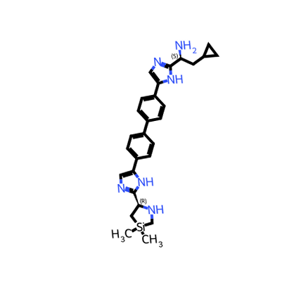 C[Si]1(C)CN[C@H](c2ncc(-c3ccc(-c4ccc(-c5cnc([C@@H](N)CC6CC6)[nH]5)cc4)cc3)[nH]2)C1